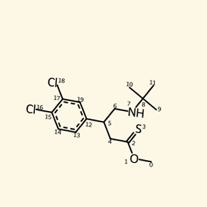 COC(=S)CC(CNC(C)(C)C)c1ccc(Cl)c(Cl)c1